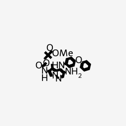 COC(=O)C(C)(C)COC(=O)Nc1cn2ncc(N)c(Nc3ccc(Oc4ccccc4)cc3)c2c1C